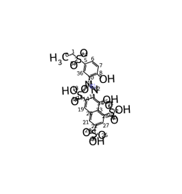 CCS(=O)(=O)c1ccc(O)c(/N=N/c2c(S(=O)(=O)O)cc3cc(S(=O)(=O)O)cc(S(=O)(=O)O)c3c2O)c1